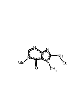 CCNc1nc2ncn(C(C)(C)C)c(=O)c2n1C